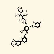 Cc1c(COc2cc(OCc3ccc(F)cc3F)c(CNCC(O)C(O)C(O)C(O)CO)cc2Cl)cccc1-c1ccc2c(c1)OCCO2